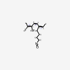 C\C=C(/C=C\C(Br)=C(/C)F)CCCCN=O